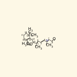 CC(=CC=C/C(C)=C/C=O)C(O)CC1=C(C)CCCC1(C)C